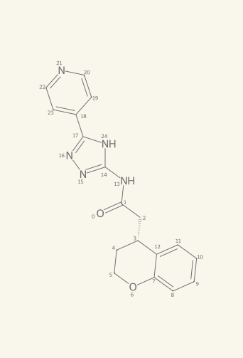 O=C(C[C@H]1CCOc2ccccc21)Nc1nnc(-c2ccncc2)[nH]1